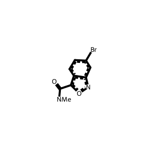 CNC(=O)c1onc2cc(Br)ccc12